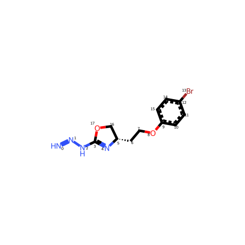 N=NNC1=N[C@@H](CCOc2ccc(Br)cc2)CO1